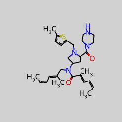 C/C=C\C=C(/C)CN(C(=O)/C(C)=C/C=C\C)C1CC(C(=O)N2CCNCC2)N(Cc2ccc(C)s2)C1